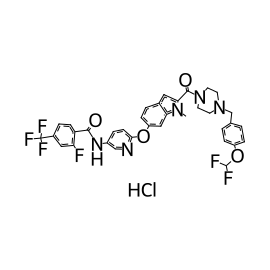 Cl.Cn1c(C(=O)N2CCN(Cc3ccc(OC(F)F)cc3)CC2)cc2ccc(Oc3ccc(NC(=O)c4ccc(C(F)(F)F)cc4F)cn3)cc21